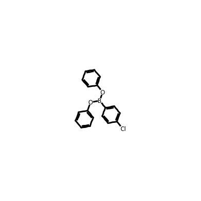 Clc1ccc(B(Oc2ccccc2)Oc2ccccc2)cc1